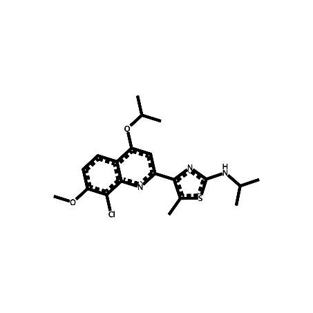 COc1ccc2c(OC(C)C)cc(-c3nc(NC(C)C)sc3C)nc2c1Cl